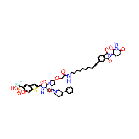 CC(C)(C)[C@H](NC(=O)c1cc2cc(C(F)(F)P(=O)(O)O)ccc2s1)C(=O)N1C[C@@H](OCC(=O)NCCCCCCCCC#Cc2ccc3c(c2)C(=O)N(C2CCC(=O)NC2=O)C3=O)C[C@H]1C(=O)N1CCC[C@H](c2ccccc2)C1